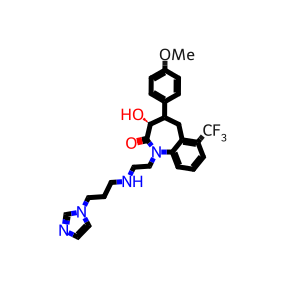 COc1ccc(C2Cc3c(cccc3C(F)(F)F)N(CCNCCCn3ccnc3)C(=O)[C@@H]2O)cc1